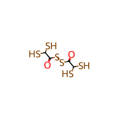 O=C(SSC(=O)C(S)S)C(S)S